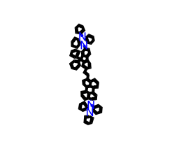 C1=CC2=C(CC1)N(c1ccc3c(c1)C(c1ccccc1)(c1ccccc1)c1cc(/C=C/c4ccc5c6cccc7c(N8c9ccccc9N(c9ccccc9)c9ccccc98)ccc(c8cccc4c58)c76)ccc1-3)C1=C(C=CCC1)N2c1ccccc1